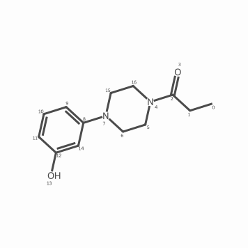 CCC(=O)N1CCN(c2cccc(O)c2)CC1